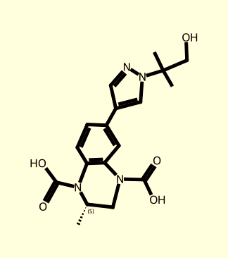 C[C@H]1CN(C(=O)O)c2cc(-c3cnn(C(C)(C)CO)c3)ccc2N1C(=O)O